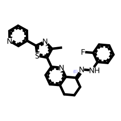 Cc1nc(-c2cccnc2)sc1-c1ccc2c(n1)/C(=N/Nc1ccccc1F)CCC2